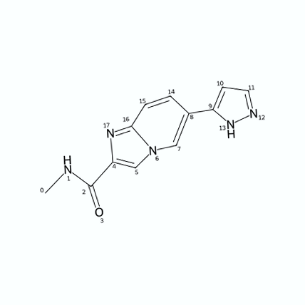 CNC(=O)c1cn2cc(-c3ccn[nH]3)ccc2n1